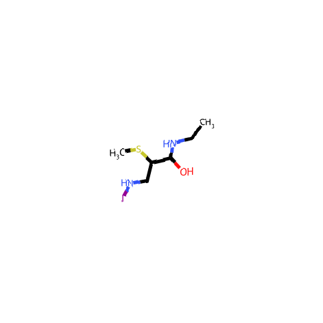 CCNC(O)C(CNI)SC